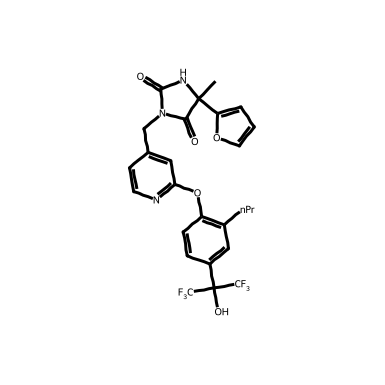 CCCc1cc(C(O)(C(F)(F)F)C(F)(F)F)ccc1Oc1cc(CN2C(=O)NC(C)(c3ccco3)C2=O)ccn1